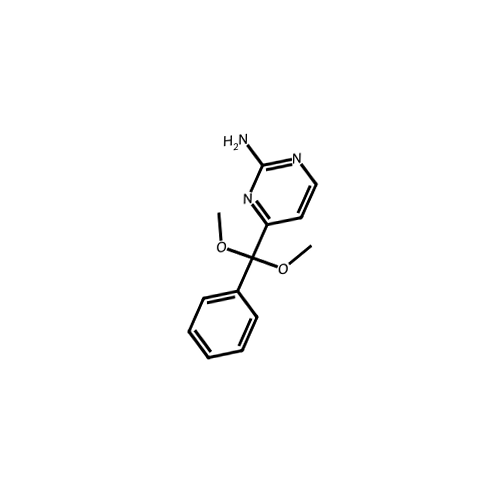 COC(OC)(c1ccccc1)c1ccnc(N)n1